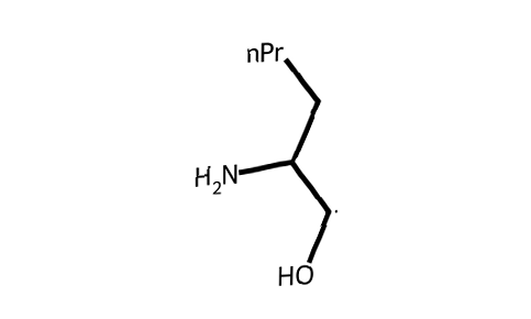 CCCCC(N)[CH]O